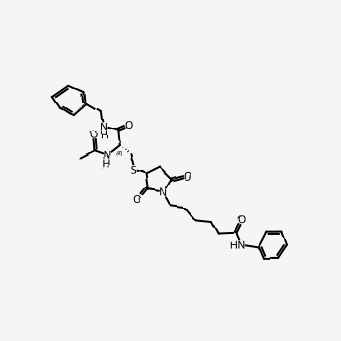 CC(=O)N[C@@H](CSC1CC(=O)N(CCCCCC(=O)Nc2ccccc2)C1=O)C(=O)NCc1ccccc1